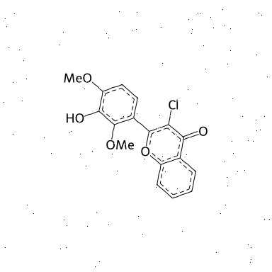 COc1ccc(-c2oc3ccccc3c(=O)c2Cl)c(OC)c1O